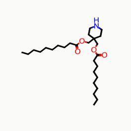 CCCCCCCCCC(=O)OCC1(COC(=O)CCCCCCCCC)CCNCC1